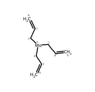 C=C[CH2][Mo]([CH2]C=C)[CH2]C=C